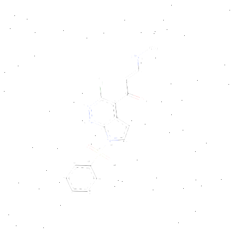 CC(C)(C)N/C=C/C(=O)c1c(Cl)nnc2c1ccn2S(=O)(=O)c1ccccc1